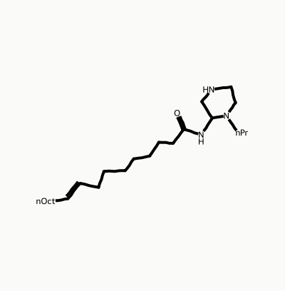 CCCCCCCCC=CCCCCCCCC(=O)NC1CNCCN1CCC